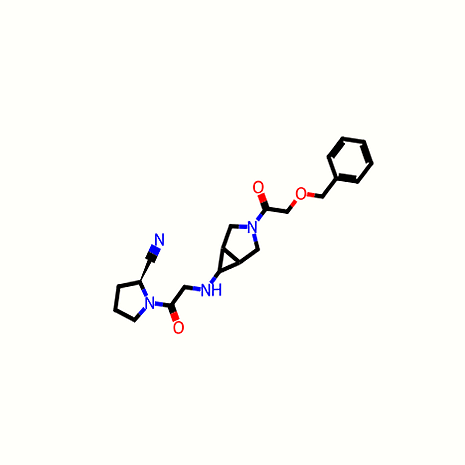 N#C[C@@H]1CCCN1C(=O)CNC1C2CN(C(=O)COCc3ccccc3)CC21